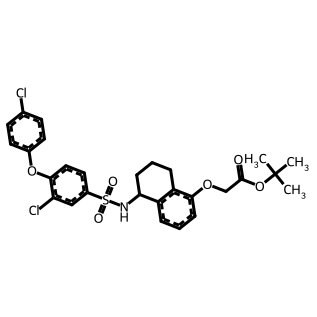 CC(C)(C)OC(=O)COc1cccc2c1CCCC2NS(=O)(=O)c1ccc(Oc2ccc(Cl)cc2)c(Cl)c1